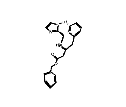 Cn1ccnc1CNC(CC(=O)OCc1ccccc1)Cc1ccccn1